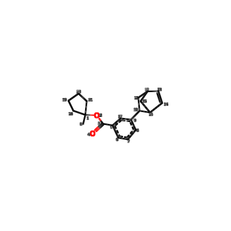 CC1(OC(=O)c2cccc(C3CC4C=CC3C4)c2)CCCC1